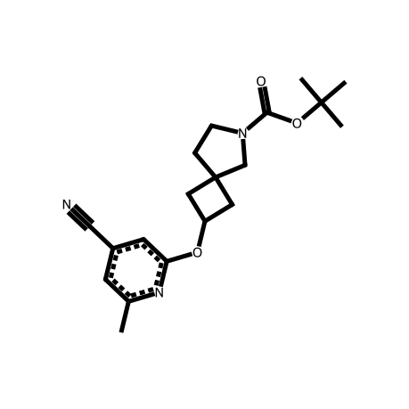 Cc1cc(C#N)cc(OC2CC3(CCN(C(=O)OC(C)(C)C)C3)C2)n1